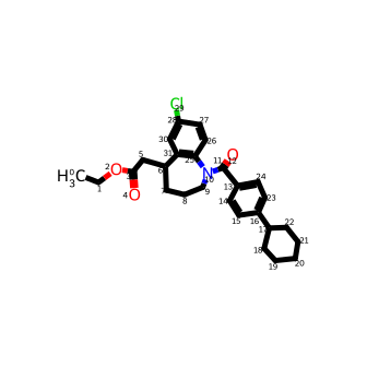 CCOC(=O)CC1CCCN(C(=O)c2ccc(C3CCCCC3)cc2)c2ccc(Cl)cc21